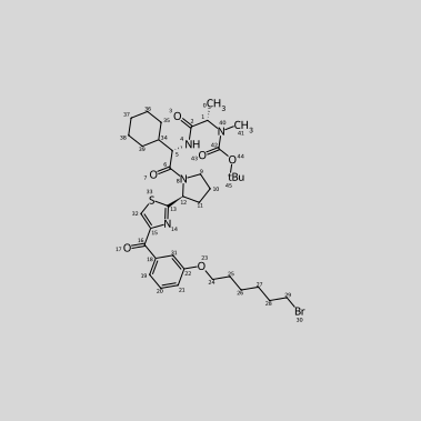 C[C@@H](C(=O)N[C@H](C(=O)N1CCC[C@H]1c1nc(C(=O)c2cccc(OCCCCCCBr)c2)cs1)C1CCCCC1)N(C)C(=O)OC(C)(C)C